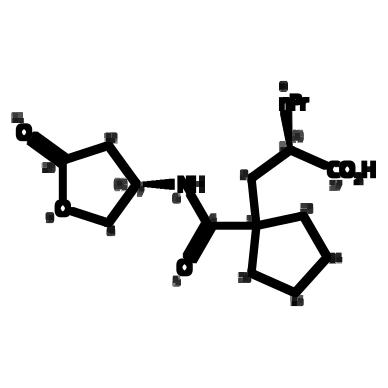 CCC[C@H](CC1(C(=O)N[C@@H]2COC(=O)C2)CCCC1)C(=O)O